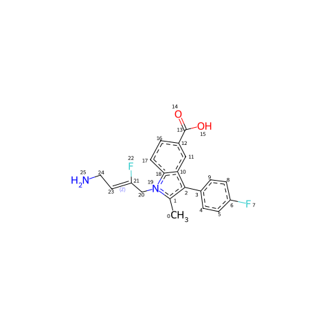 Cc1c(-c2ccc(F)cc2)c2cc(C(=O)O)ccc2n1C/C(F)=C/CN